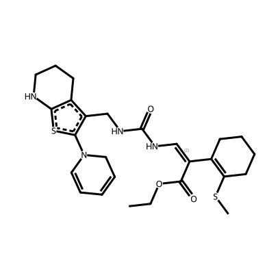 CCOC(=O)/C(=C\NC(=O)NCc1c(N2C=CC=CC2)sc2c1CCCN2)C1=C(SC)CCCC1